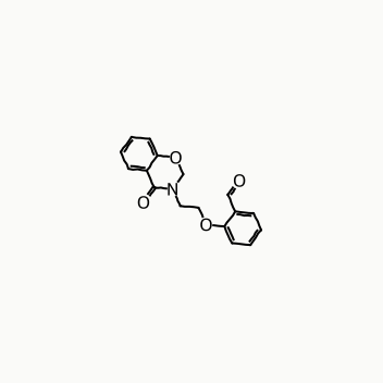 O=Cc1ccccc1OCCN1COc2ccccc2C1=O